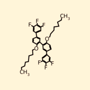 CCCCCCCCOc1ccc(-c2cc(F)c(F)c(F)c2)cc1-c1cc(-c2cc(F)c(F)c(F)c2)ccc1OCCCCCCCC